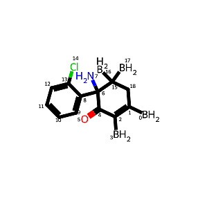 BC1=C(B)C(=O)C(N)(c2ccccc2Cl)C(B)(B)C1